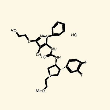 COCCN1C[C@@H](NC(=O)Nc2c(C)c(OCCO)nn2-c2ccccc2)[C@H](c2ccc(F)c(F)c2)C1.Cl